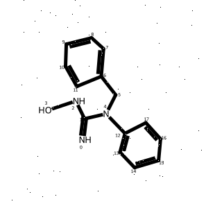 N=C(NO)N(Cc1ccccc1)c1ccccc1